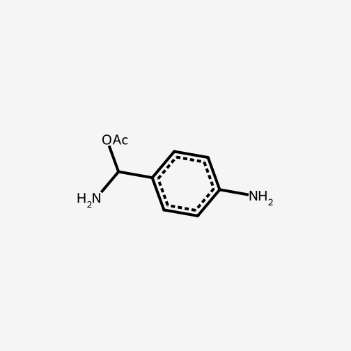 CC(=O)OC(N)c1ccc(N)cc1